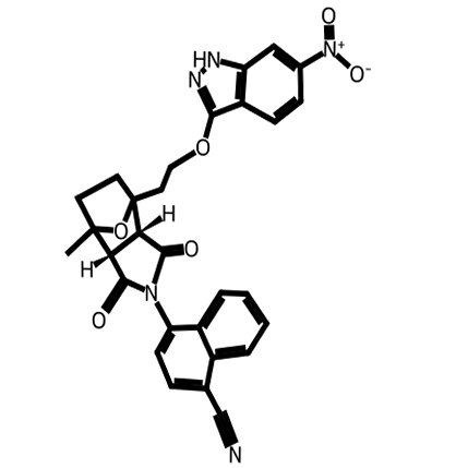 CC12CCC(CCOc3n[nH]c4cc([N+](=O)[O-])ccc34)(O1)[C@@H]1C(=O)N(c3ccc(C#N)c4ccccc34)C(=O)[C@@H]12